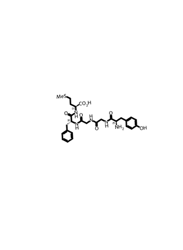 CSCC[C@H](NC(=O)[C@@H](Cc1ccccc1)NC(=O)CNC(=O)CNC(=O)[C@H](N)Cc1ccc(O)cc1)C(=O)O